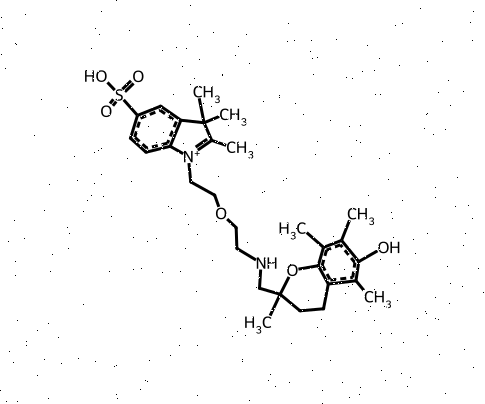 CC1=[N+](CCOCCNCC2(C)CCc3c(C)c(O)c(C)c(C)c3O2)c2ccc(S(=O)(=O)O)cc2C1(C)C